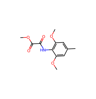 COC(=O)C(=O)Nc1c(OC)cc(C)cc1OC